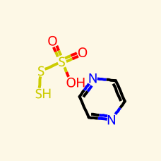 O=S(=O)(O)SS.c1cnccn1